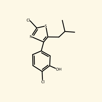 CC(C)Cc1sc(Cl)nc1-c1ccc(Cl)c(O)c1